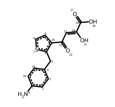 Nc1ccc(Cc2sccc2C(=O)C=C(O)C(=O)O)cc1